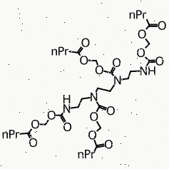 CCCC(=O)OCOC(=O)NCCN(CCN(CCNC(=O)OCOC(=O)CCC)C(=O)OCOC(=O)CCC)C(=O)OCOC(=O)CCC